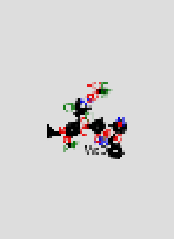 COc1ccccc1C(NS(=O)(=O)c1cccc(C(=O)O[C@@H](Cc2c(Cl)c[n+]([O-])cc2Cl)c2ccc(OC(F)F)c(OCC3CC3)c2)c1)C(=O)O[C@H]1CN2CCC1CC2.O=C(O)C(F)(F)F